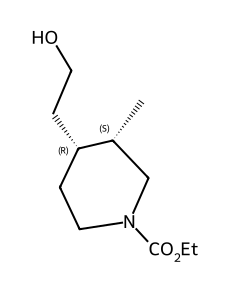 CCOC(=O)N1CC[C@H](CCO)[C@H](C)C1